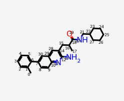 Cc1ccccc1-c1ccc2nc(N)c(CC(C)C(=O)NCC3CCCCC3)cc2c1